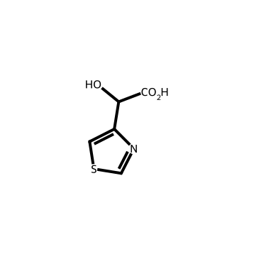 O=C(O)C(O)c1cscn1